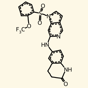 O=C1CCc2cc(Nc3cc4c(ccn4S(=O)(=O)c4ccccc4OC(F)(F)F)cn3)ccc2N1